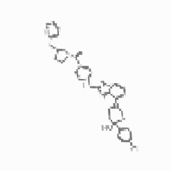 C=C(c1ccc(Nc2nc3c(N4CCC(O)(c5ccc(Cl)cc5)CC4)cccn3n2)cc1)N1CCC(Cc2ccccn2)C1